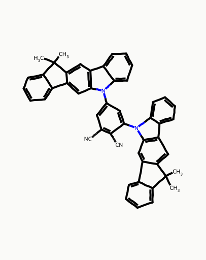 CC1(C)c2ccccc2-c2cc3c(cc21)c1ccccc1n3-c1cc(C#N)c(C#N)c(-n2c3ccccc3c3cc4c(cc32)-c2ccccc2C4(C)C)c1